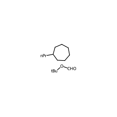 CC(C)(C)OC=O.CCCC1CCCCCC1